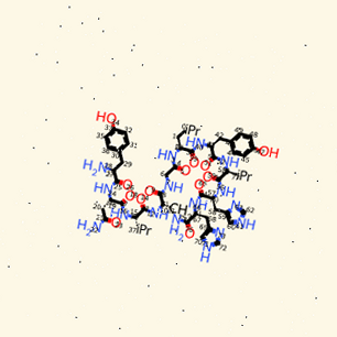 CC(C)C[C@H](NC(=O)CNC(=O)[C@H](C)NC(=O)[C@@H](NC(=O)[C@H](CC(N)=O)NC(=O)[C@@H](N)Cc1ccc(O)cc1)C(C)C)C(=O)N[C@@H](Cc1ccc(O)cc1)C(=O)N[C@H](C(=O)N[C@@H](Cc1c[nH]cn1)C(=O)N[C@@H](Cc1c[nH]cn1)C(N)=O)C(C)C